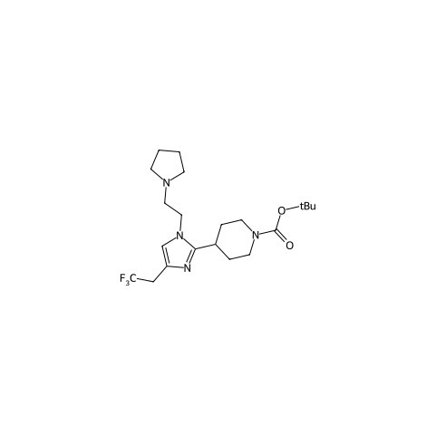 CC(C)(C)OC(=O)N1CCC(c2nc(CC(F)(F)F)cn2CCN2CCCC2)CC1